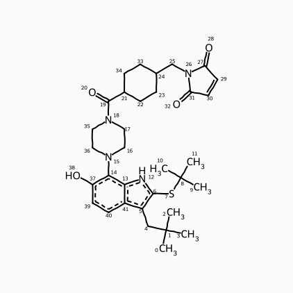 CC(C)(C)Cc1c(SC(C)(C)C)[nH]c2c(N3CCN(C(=O)C4CCC(CN5C(=O)C=CC5=O)CC4)CC3)c(O)ccc12